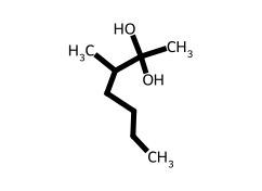 CCCCC(C)C(C)(O)O